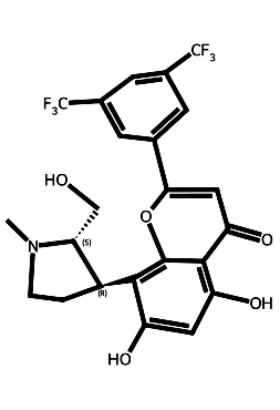 CN1CC[C@H](c2c(O)cc(O)c3c(=O)cc(-c4cc(C(F)(F)F)cc(C(F)(F)F)c4)oc23)[C@H]1CO